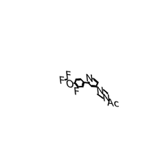 CC(=O)N1CCN(c2ccnc(-c3ccc(OC(F)F)c(F)c3)c2)CC1